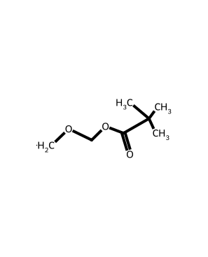 [CH2]OCOC(=O)C(C)(C)C